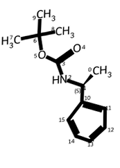 C[C@H](NC(=O)OC(C)(C)C)c1cc[c]cc1